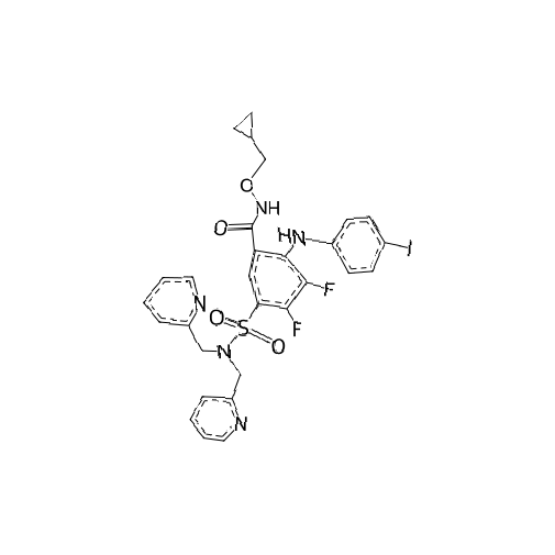 O=C(NOCC1CC1)c1cc(S(=O)(=O)N(Cc2ccccn2)Cc2ccccn2)c(F)c(F)c1Nc1ccc(I)cc1